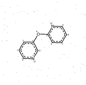 [c]1ccc(Oc2ccccn2)cn1